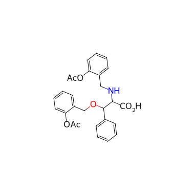 CC(=O)Oc1ccccc1CNC(C(=O)O)C(OCc1ccccc1OC(C)=O)c1ccccc1